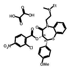 CCN(C)CCN1C(=O)[C@@H](OC(=O)c2ccc([N+](=O)[O-])cc2Cl)[C@@H](c2ccc(OC)cc2)Sc2ccccc21.O=C(O)C(=O)O